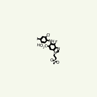 CS(=O)(=O)CCn1cnc2c(F)c(Nc3ccc(I)cc3Cl)c(C(=O)O)cc21